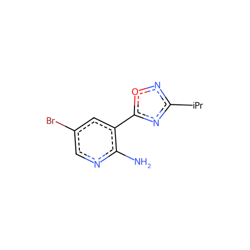 CC(C)c1noc(-c2cc(Br)cnc2N)n1